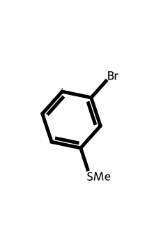 CSc1cc[c]c(Br)c1